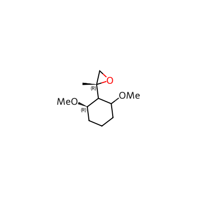 COC1CCC[C@@H](OC)C1[C@]1(C)CO1